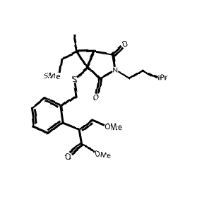 COC=C(C(=O)OC)c1ccccc1CSC12C(=O)N(CCC(C)C)C(=O)C1C2(C)CSC